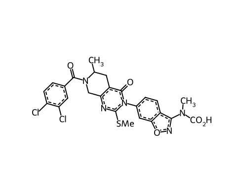 CSc1nc2c(c(=O)n1-c1ccc3c(N(C)C(=O)O)noc3c1)CC(C)N(C(=O)c1ccc(Cl)c(Cl)c1)C2